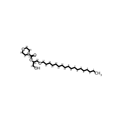 CCCCCCCCCCCCCCCCCCOCC(CO)OC(=O)N1CCOCC1